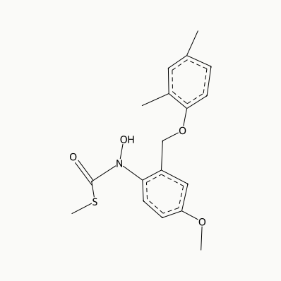 COc1ccc(N(O)C(=O)SC)c(COc2ccc(C)cc2C)c1